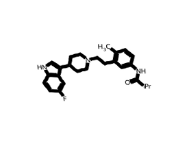 Cc1ccc(NC(=O)C(C)C)cc1CCN1CCC(c2c[nH]c3ccc(F)cc23)CC1